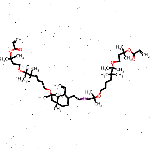 C=CC(=O)OC(C)(C)CCOC(C)(C)C(C)(C)CCCCOC(C)(C)CPCCC1CCC(C)(CC(C)(C)OCCCCC(C)(C)C(C)(C)OCCC(C)(C)OC(=O)C=C)CC1C=C